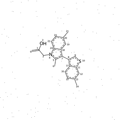 C=C(O)Cn1c(C)c(-c2csc3cc(C)ccc23)c2cc(C)ccc21